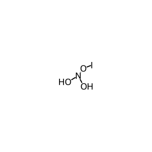 ON(O)OI